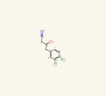 N#CCC(=O)Cc1ccc(Cl)c(Cl)c1